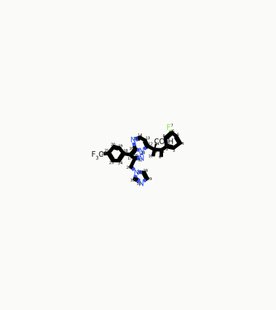 CC(c1cccc(F)c1)[C@@](C)(C(=O)O)c1ccnc2c(-c3ccc(C(F)(F)F)cc3)c(Cn3ccnc3)nn12